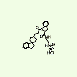 CS(=O)(=O)NCCNC(=O)C1Cc2ccccc2N1C(=O)CCN1CCC2(CCc3ccccc32)CC1.Cl